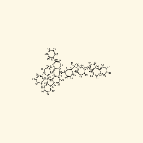 CC1(C)c2cc(N(c3ccc(-c4ccccc4)cc3)c3ccc4c(c3)C(c3ccccc3)(c3ccccc3)c3ccccc3-4)ccc2-c2ccc(-n3ccc4c5ccccc5ccc43)cc21